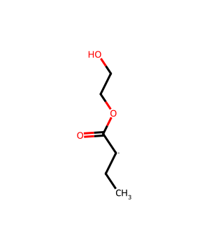 CC[CH]C(=O)OCCO